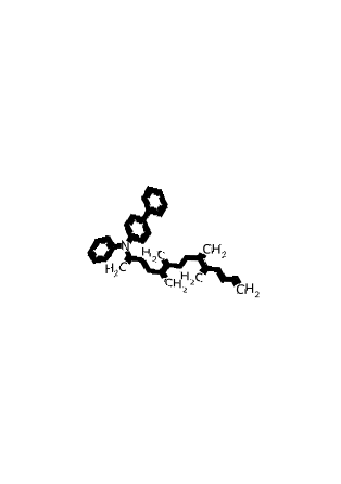 C=CCCC(=C)C(=C)CCC(=C)C(=C)CCC(=C)N(c1ccccc1)c1ccc(-c2ccccc2)cc1